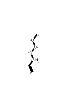 C=C[SiH2]OOOC